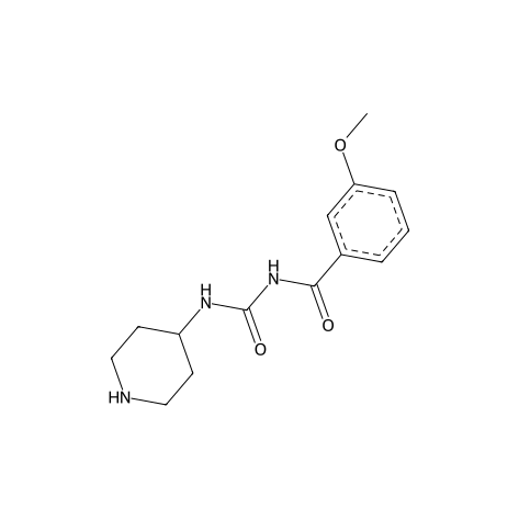 COc1cccc(C(=O)NC(=O)NC2CCNCC2)c1